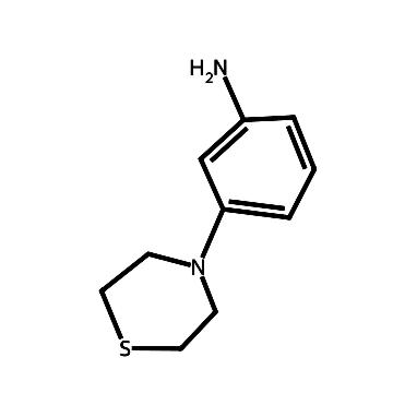 Nc1cccc(N2CCSCC2)c1